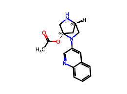 CC(=O)O[C@@]12CN[C@H](CN1c1cnc3ccccc3c1)C2